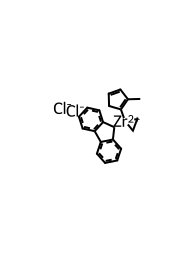 CC1=[C]([Zr+2]2([CH]3c4ccccc4-c4ccccc43)[CH2][CH2]2)CC=C1.[Cl-].[Cl-]